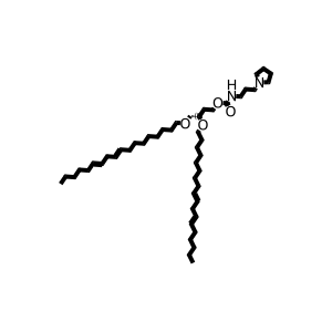 CCCCCC=CCC=CCCCCCCCCOC[C@H](CCOC(=O)NCCCN1CCCC1)OCCCCCCCCC=CCC=CCCCCC